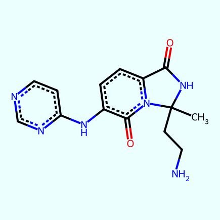 CC1(CCN)NC(=O)c2ccc(Nc3ccncn3)c(=O)n21